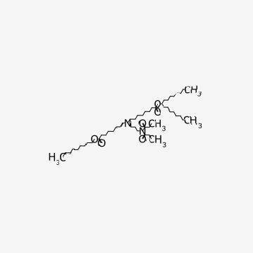 CCCCCCCCCOC(=O)CCCCCCCN(CCCCCCCC(=O)OC(CCCCCCCC)CCCCCCCC)CCCN(C(=O)CC)C(=O)CC